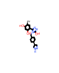 CC(C)c1cc(-c2nnc(O)n2Cc2ccc(-c3cn[nH]c3)cc2)c(O)cc1O